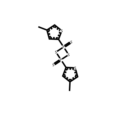 Cc1csc(P2(=S)SP(=S)(c3cc(C)cs3)S2)c1